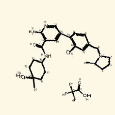 C[C@@H]1CCCN1Cc1ccc(-c2cnc(N)c(C(=O)NC3CCC(C)(O)CC3)c2)c(Cl)c1.O=C(O)C(F)(F)F